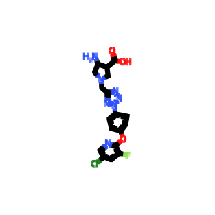 NC1CN(Cc2nnn(-c3ccc(Oc4ncc(Cl)cc4F)cc3)n2)CC1C(=O)O